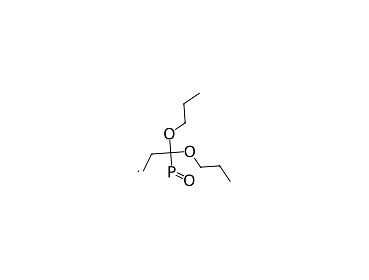 [CH2]CC(OCCC)(OCCC)P=O